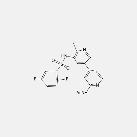 CC(=O)Nc1cc(-c2cnc(C)c(NS(=O)(=O)c3cc(F)ccc3F)c2)ccn1